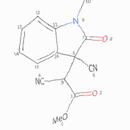 COC(=O)C(C#N)C1(C#N)C(=O)N(C)c2ccccc21